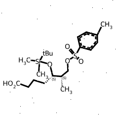 Cc1ccc(S(=O)(=O)OC[C@H](C)[C@H](CCCC(=O)O)O[Si](C)(C)C(C)(C)C)cc1